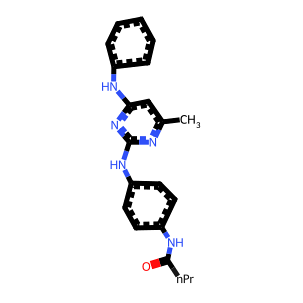 CCCC(=O)Nc1ccc(Nc2nc(C)cc(Nc3ccccc3)n2)cc1